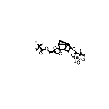 O=C(OCC1COC2(O1)C1CC3CC2CC(OC(=O)C(F)(F)S(=O)(=O)O)(C3)C1)C(F)(F)F